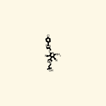 CC(C)(O)CCn1cc(-c2c(C#N)c(N)nc(SCc3csc(-c4ccc(Cl)cc4)n3)c2C#N)cn1